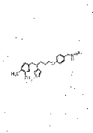 [CH2]CCNCc1ccc(OCCCC(Cc2ccc(C)c(C)c2)c2ccsc2)cc1